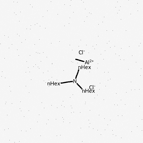 CCCCCCN(CCCCCC)CCCCCC.[CH3][Al+2].[Cl-].[Cl-]